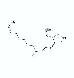 CCC/C=C\CCCCC[C@@H](C)CCO[C@@H]1CNCC1OCCCCCCCCC